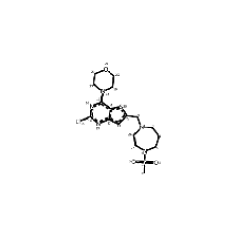 CS(=O)(=O)N1CCCN(Cc2cc3nc(Cl)nc(N4CCOCC4)c3s2)CC1